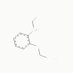 CCCCCCCCOc1ccccc1NCC(=O)O